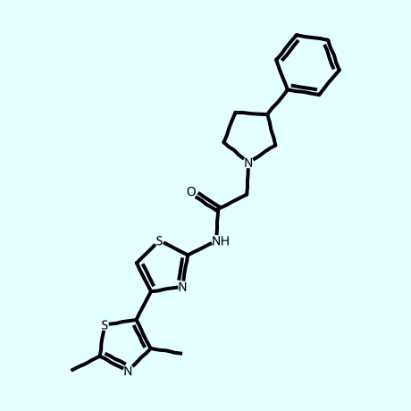 Cc1nc(C)c(-c2csc(NC(=O)CN3CCC(c4ccccc4)C3)n2)s1